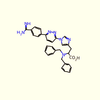 N=C(N)c1ccc(-c2ccc(-n3cnc(CC(C(=O)O)N(Cc4ccccc4)Cc4ccccc4)c3)nn2)cc1